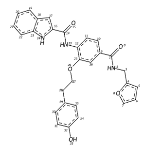 O=C(NCc1ccco1)c1ccc(NC(=O)c2cc3ccccc3[nH]2)c(OCCc2ccc(O)cc2)c1